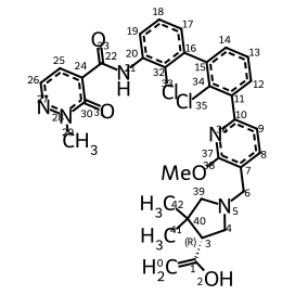 C=C(O)[C@H]1CN(Cc2ccc(-c3cccc(-c4cccc(NC(=O)c5ccnn(C)c5=O)c4Cl)c3Cl)nc2OC)CC1(C)C